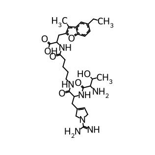 CCc1ccc2oc(CC(NC(=O)CCCCNC(=O)C(CC3=CCN(C(=N)N)C3)NC(=O)C(N)C(C)O)C(=O)O)c(C)c2c1